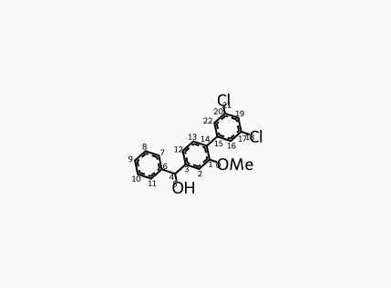 COc1cc(C(O)c2ccccc2)ccc1-c1cc(Cl)cc(Cl)c1